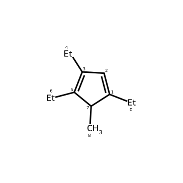 CCC1=CC(CC)=C(CC)C1C